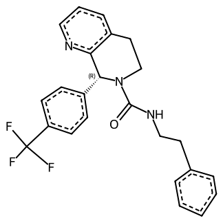 O=C(NCCc1ccccc1)N1CCc2cccnc2[C@H]1c1ccc(C(F)(F)F)cc1